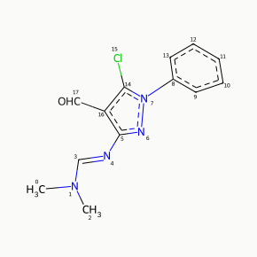 CN(C)C=Nc1nn(-c2ccccc2)c(Cl)c1C=O